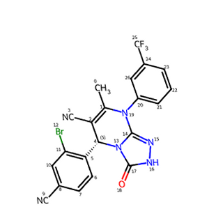 CC1=C(C#N)[C@@H](c2ccc(C#N)cc2Br)n2c(n[nH]c2=O)N1c1cccc(C(F)(F)F)c1